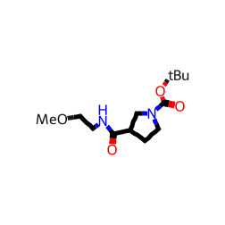 COCCNC(=O)C1CCN(C(=O)OC(C)(C)C)C1